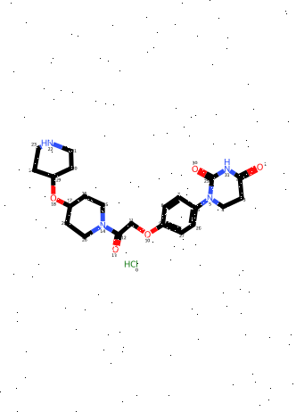 Cl.O=C1CCN(c2ccc(OCC(=O)N3CCC(OC4CCNCC4)CC3)cc2)C(=O)N1